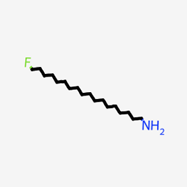 NCCCCCCCCCCCCCCCCCCF